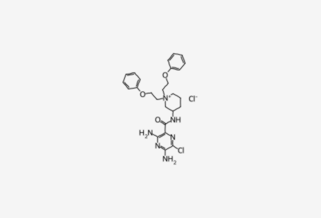 Nc1nc(N)c(C(=O)NC2CCC[N+](CCOc3ccccc3)(CCOc3ccccc3)C2)nc1Cl.[Cl-]